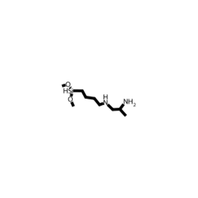 CO[SiH](CCCCNCC(C)N)OC